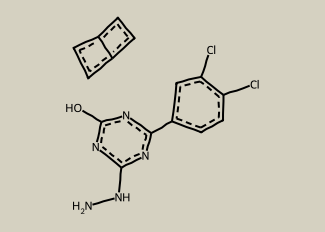 NNc1nc(O)nc(-c2ccc(Cl)c(Cl)c2)n1.c1cc2ccc1-2